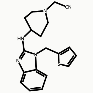 N#CCN1CCC(Nc2nc3ccccc3n2Cc2cccs2)CC1